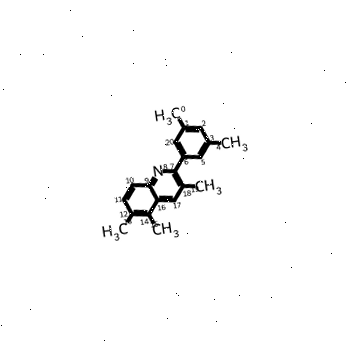 Cc1cc(C)cc(-c2nc3ccc(C)c(C)c3cc2C)c1